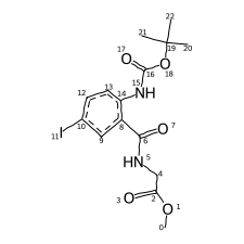 COC(=O)CNC(=O)c1cc(I)ccc1NC(=O)OC(C)(C)C